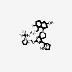 [2H]C([2H])([2H])N1CCC[C@H]1COc1nc2c(c(N3CC4CCC3CN4)n1)CCN(c1cc(O)cc3ccc(F)c(CC)c13)C2